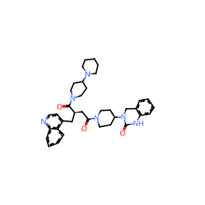 O=C(C[C@@H](Cc1ccnc2ccccc12)C(=O)N1CCC(N2CCCCC2)CC1)N1CCC(N2Cc3ccccc3NC2=O)CC1